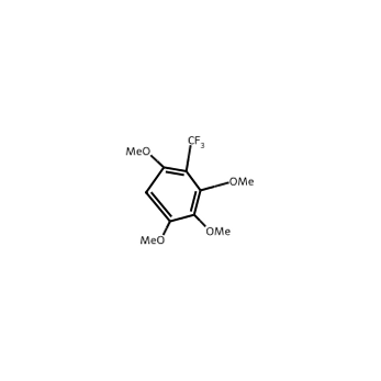 COc1cc(OC)c(C(F)(F)F)c(OC)c1OC